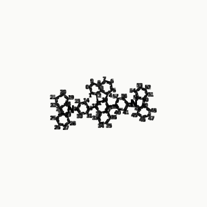 c1cc2c3c(cccc3c1)-c1c-2c(-c2ccc(-n3c4ccccc4c4ccccc43)cc2)c2ccccc2c1-c1ccc(-n2c3ccccc3c3ccccc32)cc1